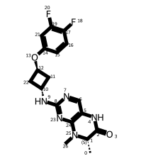 C[C@H]1C(=O)Nc2cnc(N[C@H]3C[C@H](Oc4ccc(F)c(F)c4)C3)nc2N1C